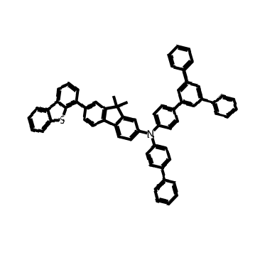 CC1(C)c2cc(-c3cccc4c3sc3ccccc34)ccc2-c2ccc(N(c3ccc(-c4ccccc4)cc3)c3ccc(-c4cc(-c5ccccc5)cc(-c5ccccc5)c4)cc3)cc21